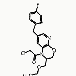 CCOCC1COc2ncc(Cc3ccc(F)cc3)cc2N1C(=O)CCl